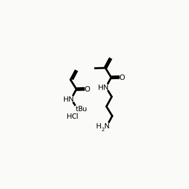 C=C(C)C(=O)NCCCN.C=CC(=O)NC(C)(C)C.Cl